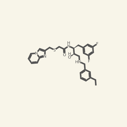 CCc1cccc(CNC[C@@H](O)[C@H](Cc2cc(F)cc(F)c2)NC(=O)CSCc2cn3ccccc3n2)c1